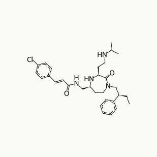 CC[C@H](CN1CC[C@@H](CNC(=O)C=Cc2ccc(Cl)cc2)N[C@@H](CCNC(C)C)C1=O)c1ccccc1